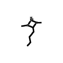 CCCCC1N(C)[SiH2]N1C